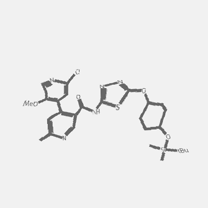 COc1cnc(Cl)cc1-c1cc(C)ncc1C(=O)Nc1nnc(OC2CCC(O[Si](C)(C)C(C)(C)C)CC2)s1